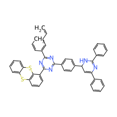 C=CC/C=C(\C=C/C)c1nc(-c2ccc(C3C=C(c4ccccc4)N=C(c4ccccc4)N3)cc2)nc(-c2cccc3c2Sc2ccccc2S3)n1